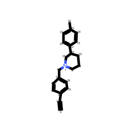 C#Cc1ccc(CN2CCCC(c3ccc(C)cc3)C2)cc1